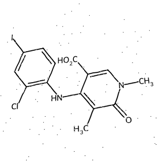 Cc1c(Nc2ccc(I)cc2Cl)c(C(=O)O)cn(C)c1=O